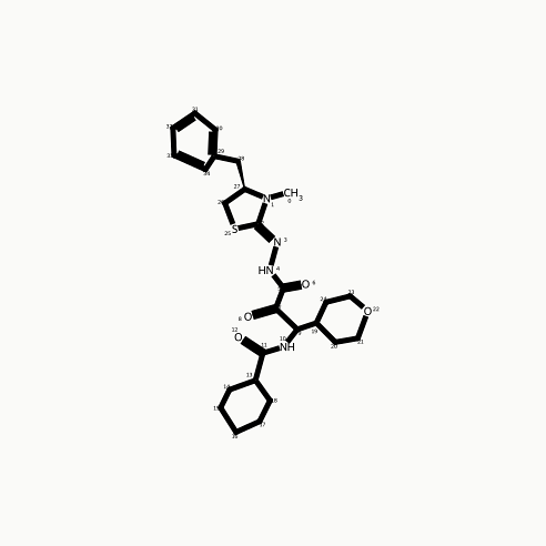 CN1/C(=N/NC(=O)C(=O)C(NC(=O)C2CCCCC2)C2CCOCC2)SC[C@H]1Cc1ccccc1